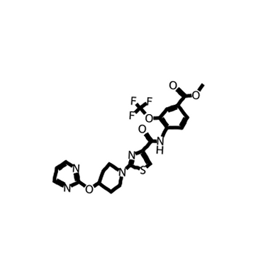 COC(=O)c1ccc(NC(=O)c2csc(N3CCC(Oc4ncccn4)CC3)n2)c(OC(F)(F)F)c1